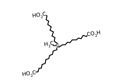 C=C[Si](CCCCCCCCCCCC(=O)O)(CCCCCCCCCCCC(=O)O)CCCCCCCCCCCC(=O)O